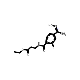 CCOC(=O)CCNC(=O)c1ccc(/C(N)=N\O)cc1F